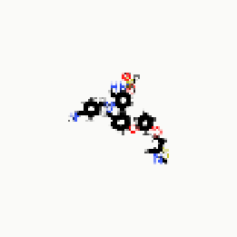 Cc1ncsc1CCOc1cccc(Oc2ccc(CN(Cc3ccc(C#N)cc3)c3cccc(NS(C)(=O)=O)c3C)cc2)c1